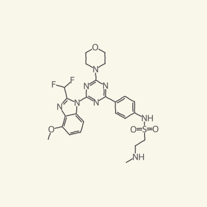 CNCCS(=O)(=O)Nc1ccc(-c2nc(N3CCOCC3)nc(-n3c(C(F)F)nc4c(OC)cccc43)n2)cc1